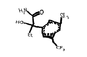 CCC(O)(C(N)=O)c1cc(C(F)(F)F)cc(C(F)(F)F)c1